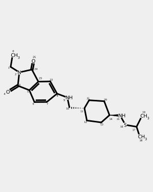 CCN1C(=O)c2ccc(NC[C@H]3CC[C@H](NSC(C)C)CC3)cc2C1=O